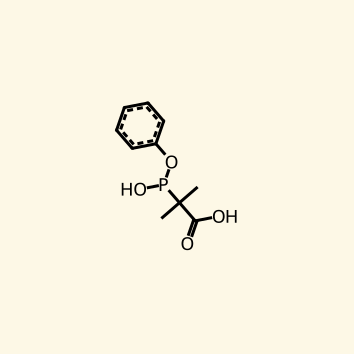 CC(C)(C(=O)O)P(O)Oc1ccccc1